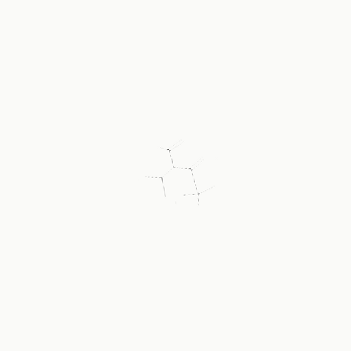 C=C(C(C(=O)O)C(C)C)C(F)(F)F